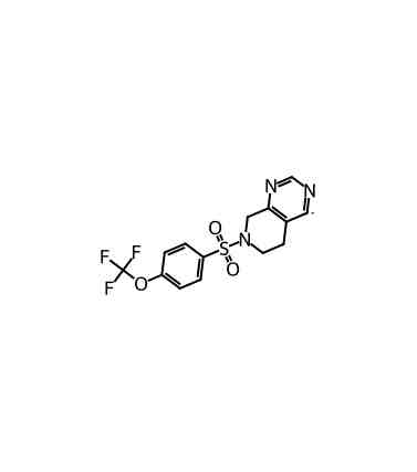 O=S(=O)(c1ccc(OC(F)(F)F)cc1)N1CCc2[c]ncnc2C1